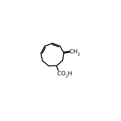 C=C1/C=C\C=C/CCC(C(=O)O)C1